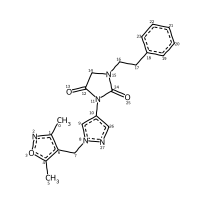 Cc1noc(C)c1Cn1cc(N2C(=O)CN(CCc3ccccc3)C2=O)cn1